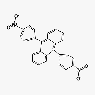 O=[N+]([O-])c1ccc(-c2c3ccccc3c(-c3ccc([N+](=O)[O-])cc3)c3ccccc23)cc1